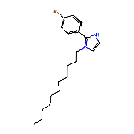 CCCCCCCCCCC[n+]1cc[nH]c1-c1ccc(Br)cc1